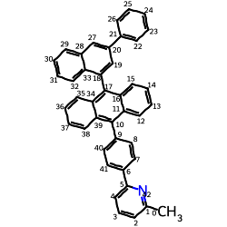 Cc1cccc(-c2ccc(-c3c4ccccc4c(-c4cc(-c5ccccc5)cc5ccccc45)c4ccccc34)cc2)n1